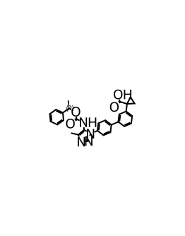 Cc1nnn(-c2ccc(-c3cccc(C4(C(=O)O)CC4)c3)cc2)c1NC(=O)O[C@H](C)c1ccccc1